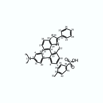 CN(C)c1ccc(-c2cccc(I)c2-c2c(I)ccc3sc(-c4ccccc4)nc23)cc1.Cc1ccc(S(=O)(=O)O)cc1